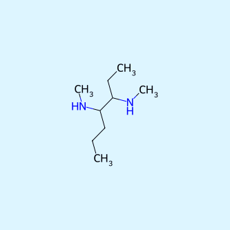 CCCC(NC)C(CC)NC